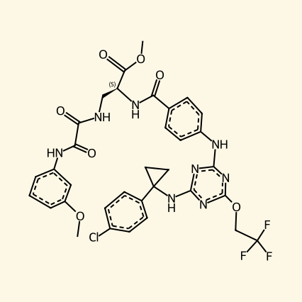 COC(=O)[C@H](CNC(=O)C(=O)Nc1cccc(OC)c1)NC(=O)c1ccc(Nc2nc(NC3(c4ccc(Cl)cc4)CC3)nc(OCC(F)(F)F)n2)cc1